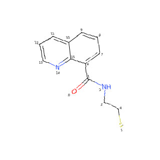 O=C(NCC[S])c1cccc2cccnc12